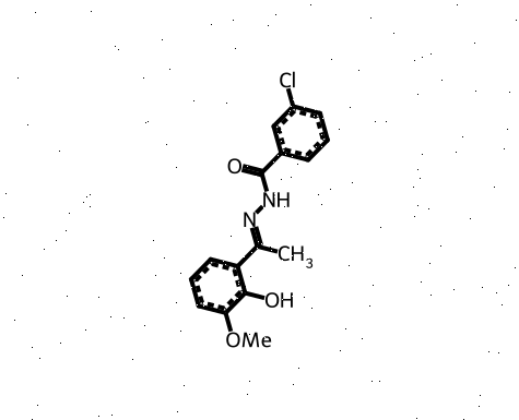 COc1cccc(/C(C)=N/NC(=O)c2cccc(Cl)c2)c1O